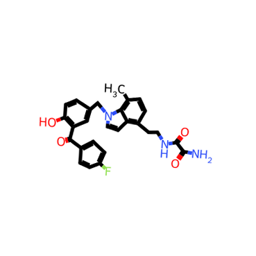 Cc1ccc(CCNC(=O)C(N)=O)c2ccn(Cc3ccc(O)c(C(=O)c4ccc(F)cc4)c3)c12